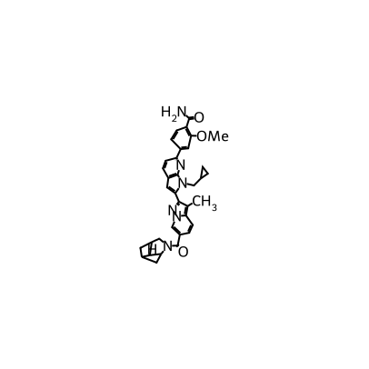 COc1cc(-c2ccc3cc(-c4nn5cc(C(=O)N6CC7CC8CC6[C@H]87)ccc5c4C)n(CC4CC4)c3n2)ccc1C(N)=O